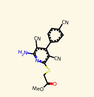 COC(=O)CSc1nc(N)c(C#N)c(-c2ccc(C#N)cc2)c1C#N